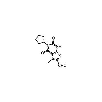 Cc1c(C=O)sc2[nH]c(=O)n(C3CCCC3)c(=O)c12